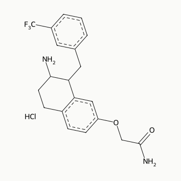 Cl.NC(=O)COc1ccc2c(c1)C(Cc1cccc(C(F)(F)F)c1)C(N)CC2